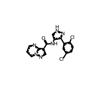 O=C(Nc1c[nH]nc1-c1cc(Cl)ccc1Cl)c1cnn2cccnc12